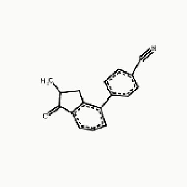 CC1Cc2c(cccc2-c2ccc(C#N)cc2)C1=O